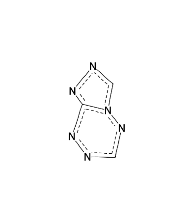 c1nnc2nncn2n1